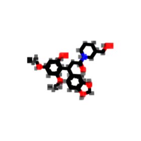 COc1cc(O)c(C(CC(=O)N2CCCC(CO)C2)c2ccc3c(c2)OCO3)c(OC)c1